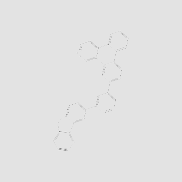 c1cc(-c2ccc3sc4ccccc4c3c2)cc(-c2ccc3c4ccccc4c4ccncc4c3c2)c1